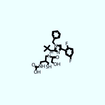 CC(C)(C)[C@H](c1nc(-c2cc(F)ccc2F)cn1Cc1ccccc1)N(CC(CS)CNC(=O)O)C(=O)CO